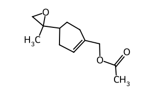 CC(=O)OCC1=CCC(C2(C)CO2)CC1